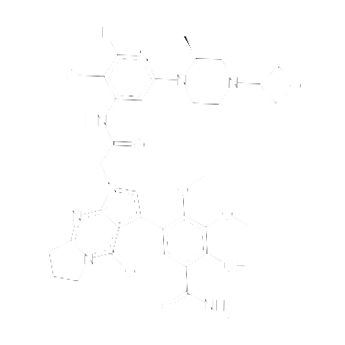 COc1c(-c2cn(CC(=O)Nc3cc(N4CCN(C5COC5)C[C@@H]4C)nc(F)c3Cl)c3nc4n(c(=O)c23)CCC4)cc(C(N)=O)c(O)c1OC